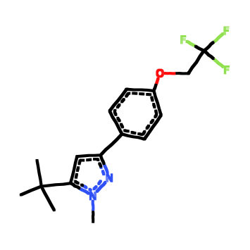 Cn1nc(-c2ccc(OCC(F)(F)F)cc2)cc1C(C)(C)C